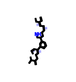 C=C/C(=C\C=C/CCC(CN)c1cccc(C(/C=C\C)=C/CCC(=C)C(C)C)c1)CC